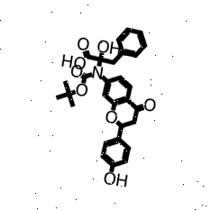 CC(C)(C)OC(=O)N(c1ccc2c(c1)OC(c1ccc(O)cc1)CC2=O)C(O)(Cc1ccccc1)C(=O)O